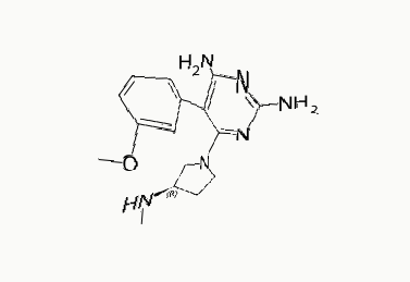 CN[C@@H]1CCN(c2nc(N)nc(N)c2-c2cccc(OC)c2)C1